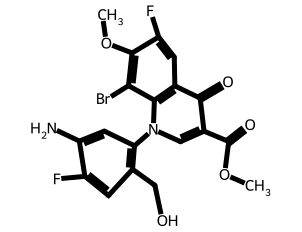 COC(=O)c1cn(-c2cc(N)c(F)cc2CO)c2c(Br)c(OC)c(F)cc2c1=O